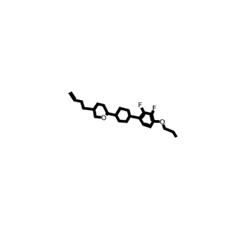 C=CCCC1CCC(C2CCC(c3ccc(OCCC)c(F)c3F)CC2)OC1